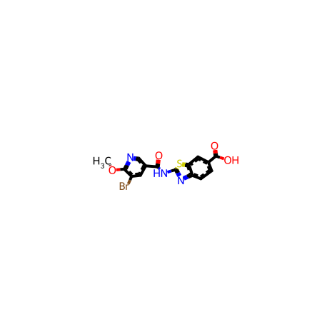 COc1ncc(C(=O)Nc2nc3ccc(C(=O)O)cc3s2)cc1Br